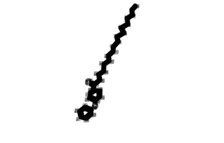 CCCCCCCCCCCCCCCCCC(=O)c1ccc(Oc2ccccc2)cc1